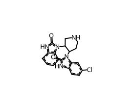 O=c1[nH]c2ccc(Cl)cc2n1C1CCNCC1n1c(=O)[nH]c2ccccc21